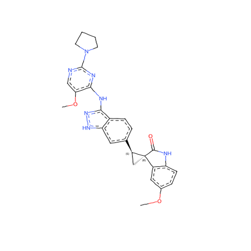 COc1ccc2c(c1)[C@]1(C[C@H]1c1ccc3c(Nc4nc(N5CCCC5)ncc4OC)n[nH]c3c1)C(=O)N2